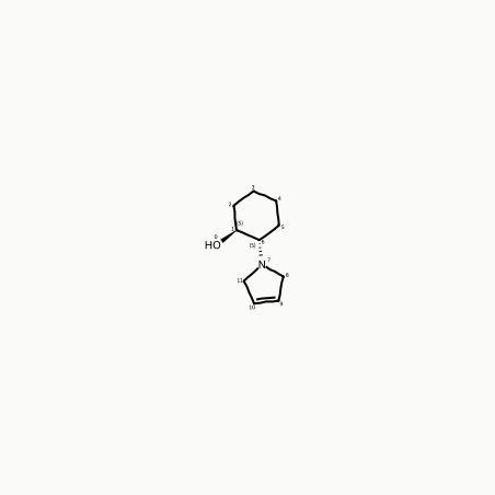 O[C@H]1CCCC[C@@H]1N1CC=CC1